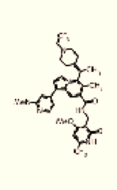 CNc1cc(-c2ccn3c(C(C)=C4CCN(CC(F)(F)F)CC4)c(C)c(C(=O)NCc4c(OC)cc(C)[nH]c4=O)cc23)ccn1